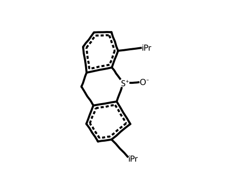 CC(C)c1ccc2c(c1)[S+]([O-])c1c(cccc1C(C)C)C2